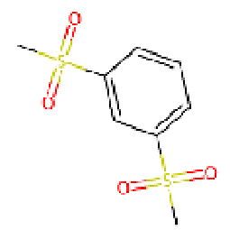 CS(=O)(=O)c1cccc(S(C)(=O)=O)c1